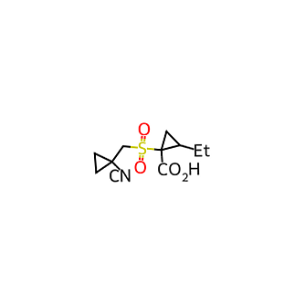 CCC1CC1(C(=O)O)S(=O)(=O)CC1(C#N)CC1